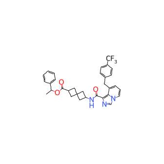 CC(OC(=O)C1CC2(CC(NC(=O)c3ncn4cccc(Cc5ccc(C(F)(F)F)cc5)c34)C2)C1)c1ccccc1